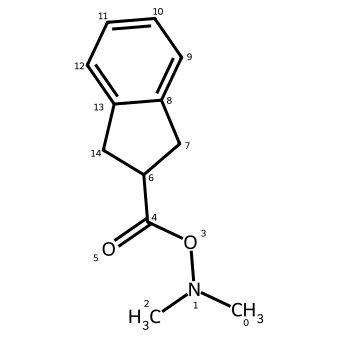 CN(C)OC(=O)C1Cc2ccccc2C1